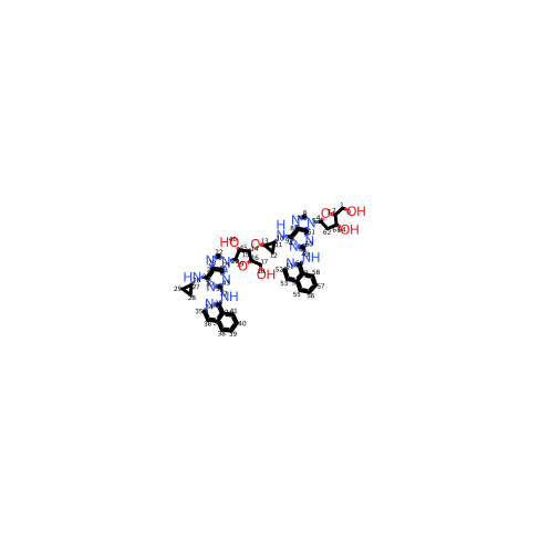 OCC1OC(n2cnc3c(NC4CC4OC4C(CO)OC(n5cnc6c(NC7CC7)nc(Nc7nccc8ccccc78)nc65)C4O)nc(Nc4nccc5ccccc45)nc32)CC1O